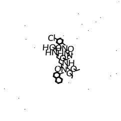 CCOC(OCC)C(C)N(Cc1cccc2ccccc12)C(=O)C(CCCCNC(=O)O)NC(=O)CN(C)NC(=O)NCc1ccc(Cl)cc1